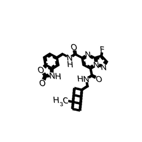 CC12C3C4C1C1C2C3C41CNC(=O)c1cc(C(=O)NCc2ccc3oc(=O)[nH]c3c2)nc2c(F)cnn12